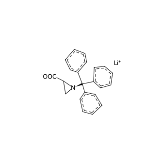 O=C([O-])C1C[N@]1C(c1ccccc1)(c1ccccc1)c1ccccc1.[Li+]